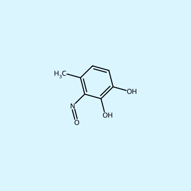 Cc1ccc(O)c(O)c1N=O